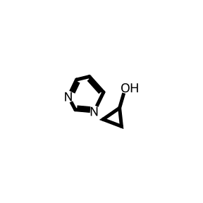 OC1CC1.c1cncnc1